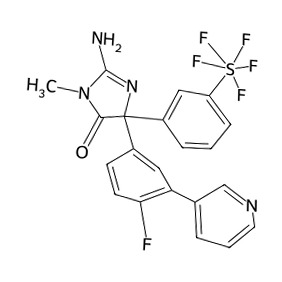 CN1C(=O)C(c2cccc(S(F)(F)(F)(F)F)c2)(c2ccc(F)c(-c3cccnc3)c2)N=C1N